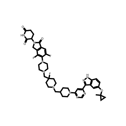 CC1(Oc2ccc3[nH]nc(-c4cc(N5CCC(CN6CCC(F)(CN7CCN(c8c(F)cc9c(c8F)CN(C8CCC(=O)NC8=O)C9=O)CC7)CC6)CC5)ncn4)c3c2)CC1